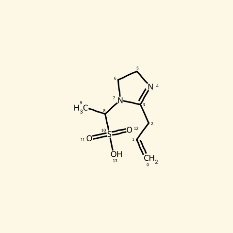 C=CCC1=NCCN1C(C)S(=O)(=O)O